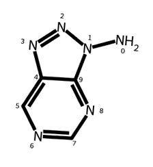 Nn1nnc2cncnc21